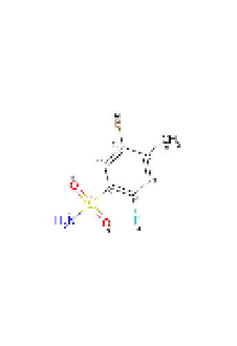 Cc1cc(F)c(S(N)(=O)=O)cc1Br